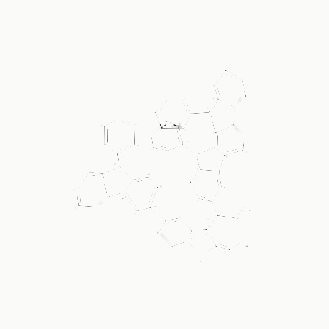 C=C/C(c1ccc2c(c1)c1ccc3c4ccccc4n(-c4ccccc4)c3c1n2-c1ccccc1)=c1\c(=C/C)oc2ccc(-c3ccc4c(c3)c3ccccc3n4-c3ccccc3)cc12